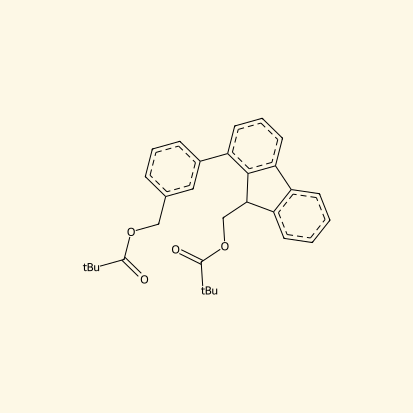 CC(C)(C)C(=O)OCc1cccc(-c2cccc3c2C(COC(=O)C(C)(C)C)c2ccccc2-3)c1